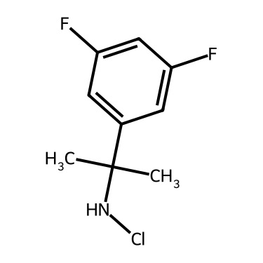 CC(C)(NCl)c1cc(F)cc(F)c1